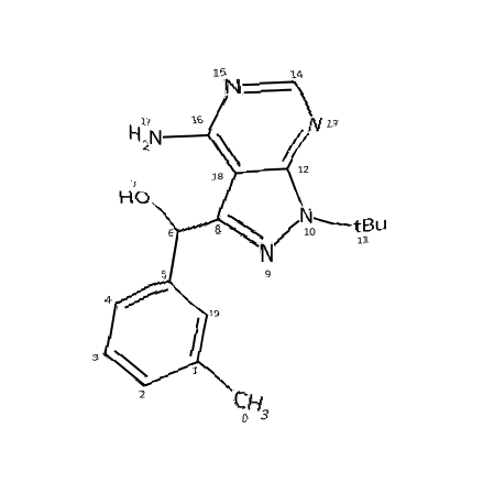 Cc1cccc(C(O)c2nn(C(C)(C)C)c3ncnc(N)c23)c1